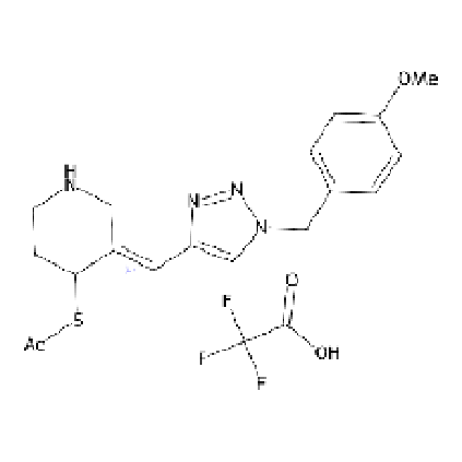 COc1ccc(Cn2cc(/C=C3\CNCCC3SC(C)=O)nn2)cc1.O=C(O)C(F)(F)F